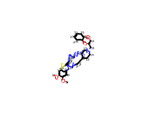 COc1cc2c(cc1OC)N(CC1CCN(CC3COc4ccccc4O3)CC1)C(N)S2